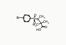 CN(C(C)(C)C(=O)O)S(=O)(=O)c1ccc(Br)cc1